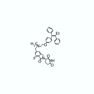 CCC(=C(c1ccccc1)c1ccc(OCCN(C)Cc2cc(F)c3c(c2)CN(C2CCC(=O)NC2=O)C3=O)cc1)c1ccccc1